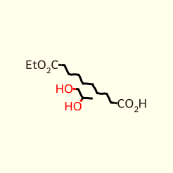 CC(O)CO.CCOC(=O)CCCCCCCCC(=O)O